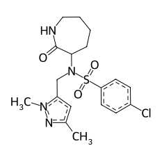 Cc1cc(CN(C2CCCCNC2=O)S(=O)(=O)c2ccc(Cl)cc2)n(C)n1